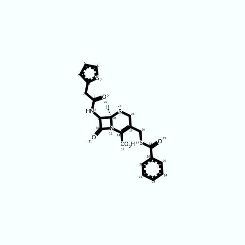 O=C(Cc1cccs1)NC1C(=O)N2C(C(=O)O)=C(CSC(=O)c3ccccc3)CS[C@H]12